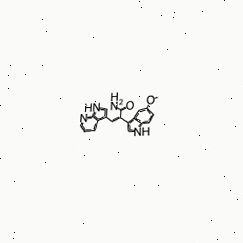 COc1ccc2[nH]cc(C(=Cc3c[nH]c4ncccc34)C(N)=O)c2c1